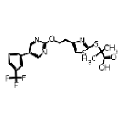 CC(C)(Sc1nc(CCOc2ncc(-c3cccc(C(F)(F)F)c3)cn2)cs1)C(=O)O